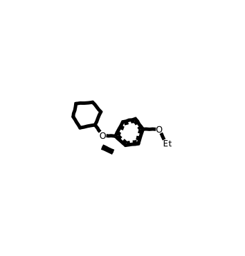 C=C.CCOc1ccc(OC2CCCCC2)cc1